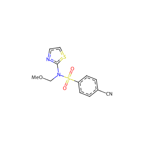 COCN(c1nccs1)S(=O)(=O)c1ccc(C#N)cc1